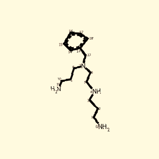 NCCCNCCN(CCCN)Cc1ccccc1